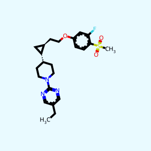 CCc1cnc(N2CCC([C@@H]3C[C@H]3CCOc3ccc(S(C)(=O)=O)c(F)c3)CC2)nc1